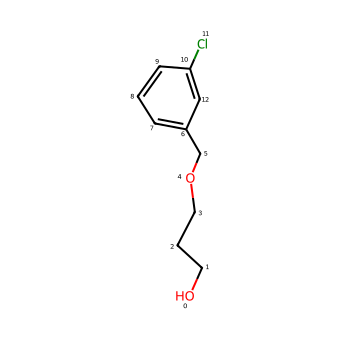 OCCCOCc1cccc(Cl)c1